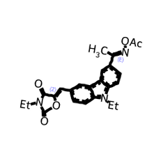 CCN1C(=O)O/C(=C\c2ccc3c(c2)c2cc(/C(C)=N/OC(C)=O)ccc2n3CC)C1=O